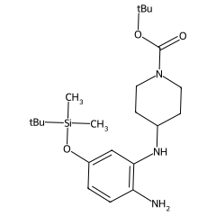 CC(C)(C)OC(=O)N1CCC(Nc2cc(O[Si](C)(C)C(C)(C)C)ccc2N)CC1